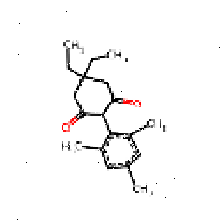 CCC1(CC)CC(=O)C(c2c(C)cc(C)cc2C)C(=O)C1